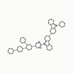 c1ccc(-c2ccc(-c3ccc(-c4cnc(-n5c6ccccc6c6cc(-c7ccc8c(c7)c7ccccc7n8-c7ccccc7)ccc65)nc4)cc3-c3ccccc3)cc2)cc1